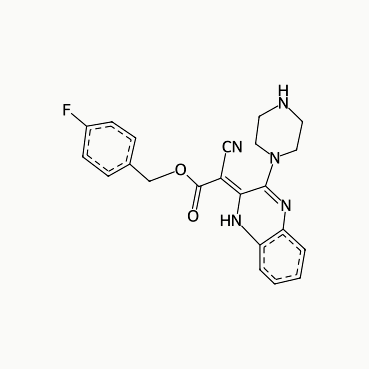 N#C/C(C(=O)OCc1ccc(F)cc1)=C1/Nc2ccccc2N=C1N1CCNCC1